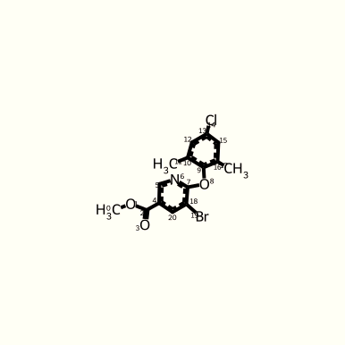 COC(=O)c1cnc(Oc2c(C)cc(Cl)cc2C)c(Br)c1